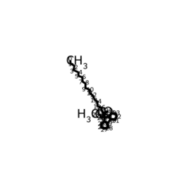 CCCCCCCCCCCCCCCCCOC(=O)C1(COC)c2ccccc2-c2ccccc21